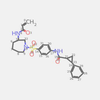 C=CC(=O)NC1CCCCN(S(=O)(=O)c2ccc(NC(=O)C3CC3c3ccccc3)cc2)C1